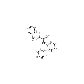 O=C(CCc1ccccc1S(=O)(=O)O)Nc1ccccc1-c1ccccc1